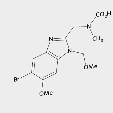 COCn1c(CN(C)C(=O)O)nc2cc(Br)c(OC)cc21